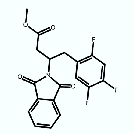 COC(=O)CC(Cc1cc(F)c(F)cc1F)N1C(=O)c2ccccc2C1=O